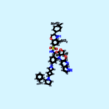 COC1(C)CCC([C@@H]2COc3cc(S(=O)(=O)NC(=O)c4ccc(N5CC6(CC(N7CCC[C@H]7c7ccccc7C(C)C)C6)C5)cc4N4c5cc6cc[nH]c6nc5O[C@@H]5COC[C@H]54)cc([N+](=O)[O-])c3N2)CC1